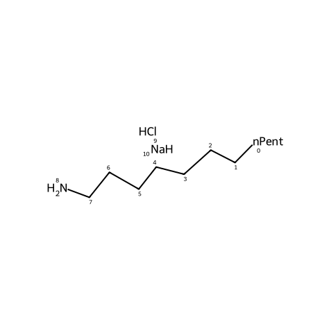 CCCCCCCCCCCCN.Cl.[NaH]